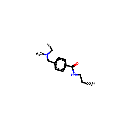 [2H]CN(C)Cc1ccc(C(=O)NCCC(=O)O)cc1